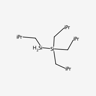 CC(C)C[SiH2][Si](CC(C)C)(CC(C)C)CC(C)C